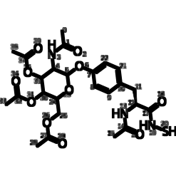 CC(=O)NC1C(Oc2ccc(C[C@H](NC(C)=O)C(=O)NS)cc2)OC(COC(C)=O)C(OC(C)=O)C1OC(C)=O